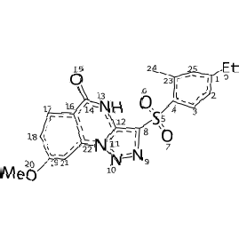 CCc1ccc(S(=O)(=O)c2nnn3c2[nH]c(=O)c2ccc(OC)cc23)c(C)c1